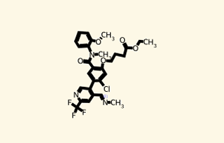 CCOC(=O)CCCOc1cc(Cl)c(-c2cnc(C(F)(F)F)cc2/C=N/C)cc1C(=O)N(C)c1ccccc1OC